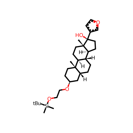 CC(C)(C)[Si](C)(C)OCCO[C@H]1CC[C@@]2(C)[C@H](CC[C@@H]3[C@@H]2CC[C@@]2(C)[C@H]3CC[C@@]2(O)c2ccoc2)C1